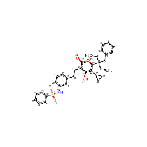 CCC(CC)(Cc1ccccc1)c1oc(=O)c(CCc2cccc(NS(=O)(=O)c3ccccc3)c2)c(O)c1C1CC1